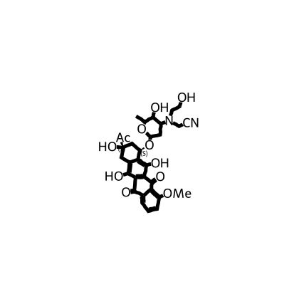 COc1cccc2c1C(=O)c1c(O)c3c(c(O)c1C2=O)C[C@@](O)(C(C)=O)C[C@@H]3OC1CC(N(CC#N)CCO)C(O)C(C)O1